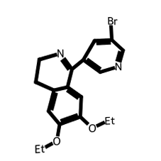 CCOc1cc2c(cc1OCC)C(c1cncc(Br)c1)=NCC2